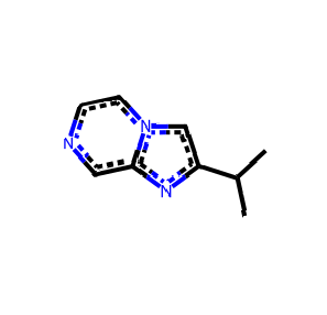 CC(C)c1cn2ccncc2n1